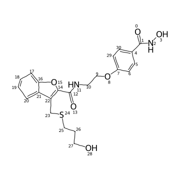 O=C(NO)c1ccc(OCCNC(=O)c2oc3ccccc3c2CSCCCO)cc1